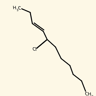 CCC=CC(Cl)CCCCCC